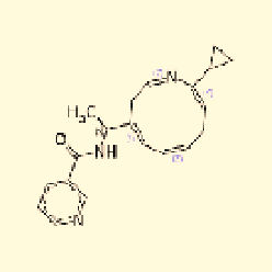 C[C@H](NC(=O)c1cccnc1)/C1=C/C=C\C/C=C(C2CC2)\N=C/C1